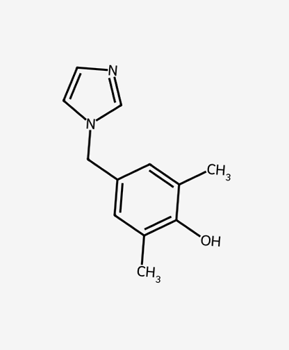 Cc1cc(Cn2ccnc2)cc(C)c1O